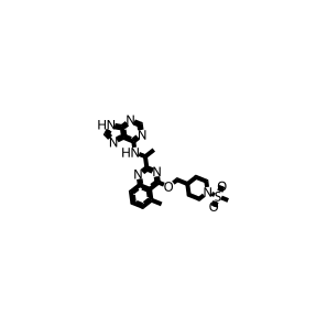 Cc1cccc2nc(C(C)Nc3ncnc4[nH]cnc34)nc(OCC3CCN(S(C)(=O)=O)CC3)c12